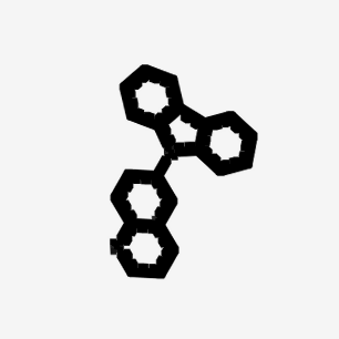 c1cnc2ccc(-n3c4ccccc4c4ccccc43)cc2c1